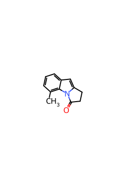 Cc1cccc2cc3n(c12)C(=O)CC3